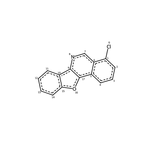 Clc1cccc2c1cnc1c3ccccc3oc21